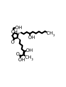 C=CO.CCCCCCC(O)CCC[C@H]1CCC(=O)[C@@H]1CCCCC(O)=C(C)C(=O)O